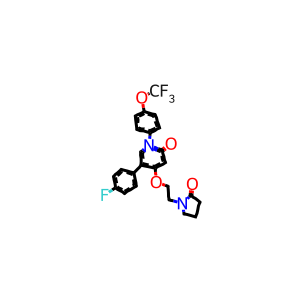 O=C1CCCN1CCOc1cc(=O)n(-c2ccc(OC(F)(F)F)cc2)cc1-c1ccc(F)cc1